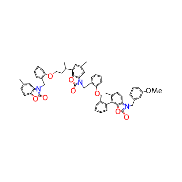 COc1cccc(Cn2c(=O)oc3c(-c4ccccc4COc4ccccc4Cn4c(=O)oc5c(C(C)CCOc6ccccc6Cn6c(=O)oc7ccc(C)cc76)cc(C)cc54)c(C)ccc32)c1